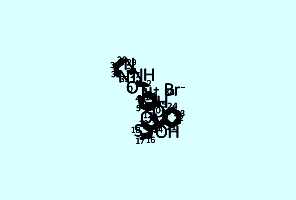 O=C(C[N+]12CCC(CC1)[C@@H](OC(=O)C(O)(c1ccsc1)C1CCCCC1)C2)Nc1ncccn1.[Br-]